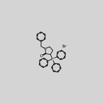 O=C1C([P+](c2ccccc2)(c2ccccc2)c2ccccc2)CCN1Cc1ccccc1.[Br-]